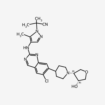 Cc1c(Nc2ncc3cc(Cl)c(C4CCN([C@@H]5COC[C@@H]5O)CC4)cc3n2)cnn1C(C)(C)C#N